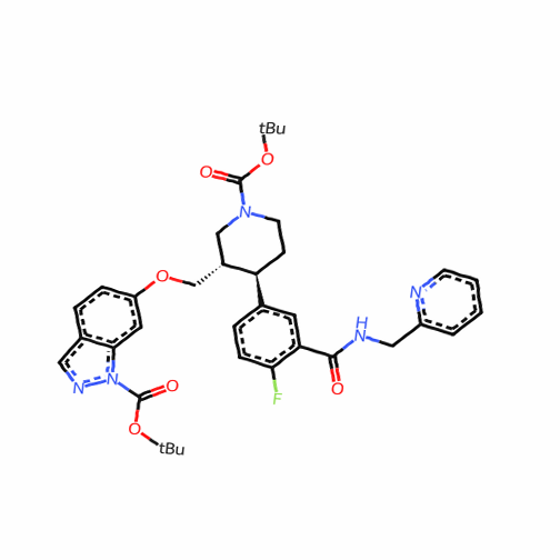 CC(C)(C)OC(=O)N1CC[C@@H](c2ccc(F)c(C(=O)NCc3ccccn3)c2)[C@H](COc2ccc3cnn(C(=O)OC(C)(C)C)c3c2)C1